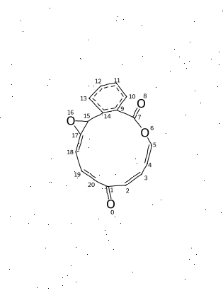 O=C1C=CC=COC(=O)c2ccccc2C2OC2=CC=C1